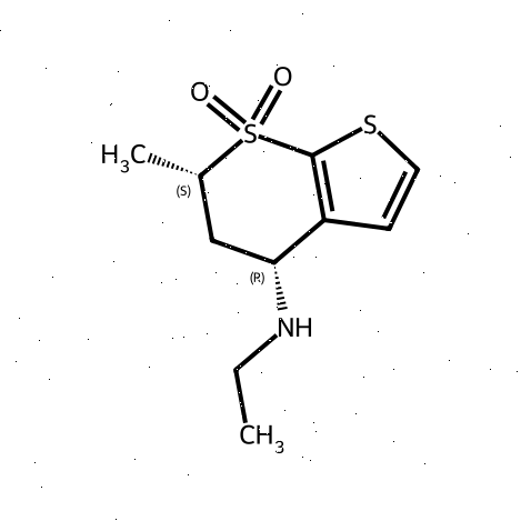 CCN[C@@H]1C[C@H](C)S(=O)(=O)c2sccc21